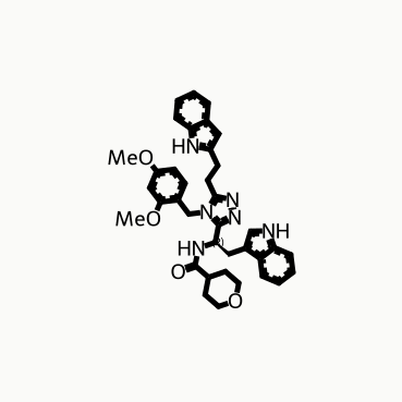 COc1ccc(Cn2c(CCc3cc4ccccc4[nH]3)nnc2[C@@H](Cc2c[nH]c3ccccc23)NC(=O)C2CCOCC2)c(OC)c1